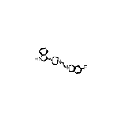 Fc1ccc2c(c1)CN(CCN1CCN(c3c[nH]c4ccccc34)CC1)C2